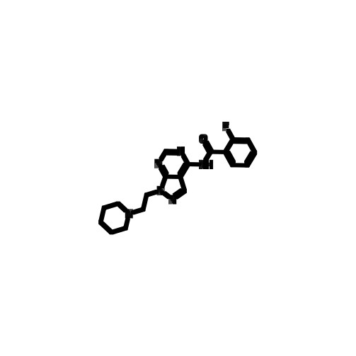 O=C(Nc1ncnc2c1cnn2CCN1CCCCC1)c1ccccc1F